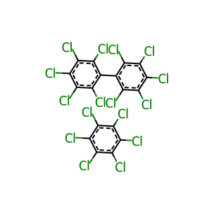 Clc1c(Cl)c(Cl)c(-c2c(Cl)c(Cl)c(Cl)c(Cl)c2Cl)c(Cl)c1Cl.Clc1c(Cl)c(Cl)c(Cl)c(Cl)c1Cl